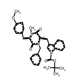 COc1ccc(/C=c2/c(=O)n(Cc3ccccc3)/c(=C\c3cn(C(=O)OC(C)(C)C)c4ccccc34)c(=O)n2C)cc1